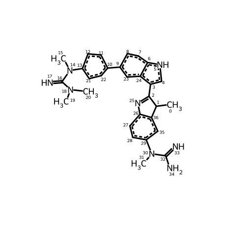 CC1C(c2c[nH]c3ccc(-c4ccc(N(C)C(=N)N(C)C)cc4)cc23)=Nc2ccc(N(C)C(=N)N)cc21